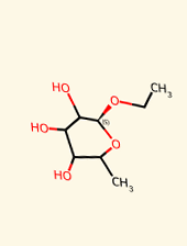 CCO[C@H]1OC(C)C(O)C(O)C1O